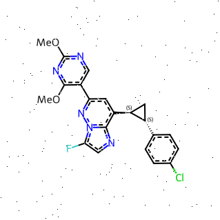 COc1ncc(-c2cc([C@H]3C[C@@H]3c3ccc(Cl)cc3)c3ncc(F)n3n2)c(OC)n1